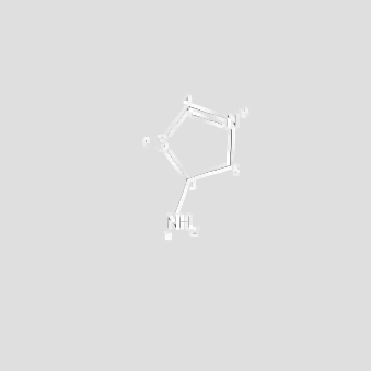 NC1CN=[C]S1